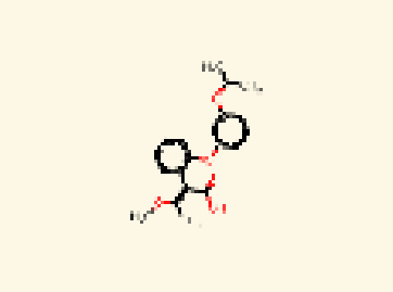 COC(C)=C(C(=O)O)c1ccccc1Oc1cccc(OC(C)C)c1